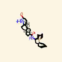 C[C@]12C=CC(=O)NC1CC[C@@H]1[C@H]2CC[C@]2(C)C(C(=O)NC(Cc3ccccc3)c3cccs3)CC[C@@H]12